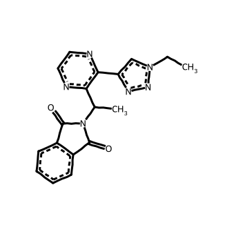 CCn1cc(-c2nccnc2C(C)N2C(=O)c3ccccc3C2=O)nn1